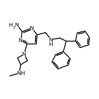 CNC1CN(c2cc(CNCC(c3ccccc3)c3ccccc3)nc(N)n2)C1